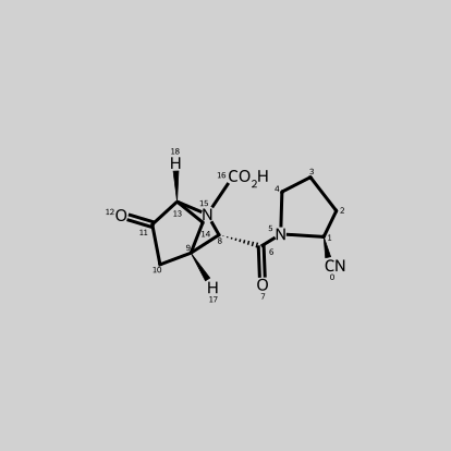 N#C[C@@H]1CCCN1C(=O)[C@@H]1[C@@H]2CC(=O)[C@@H](C2)N1C(=O)O